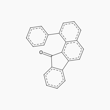 O=C1c2ccccc2-c2ccc3cccc(-c4ccccc4)c3c21